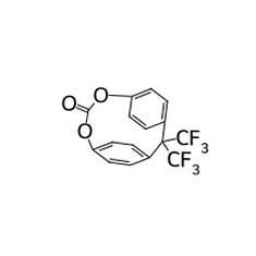 O=C1Oc2ccc(cc2)C(C(F)(F)F)(C(F)(F)F)c2ccc(cc2)O1